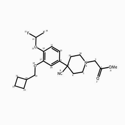 COC(=O)CN1CCC(C#N)(c2ccc(OC(F)F)c(OCC3CCC3)c2)CC1